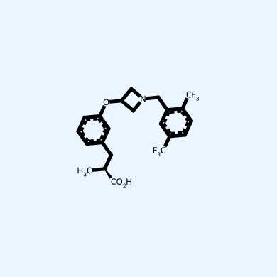 C[C@@H](Cc1cccc(OC2CN(Cc3cc(C(F)(F)F)ccc3C(F)(F)F)C2)c1)C(=O)O